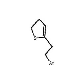 CC(=O)CCC1=CCCS1